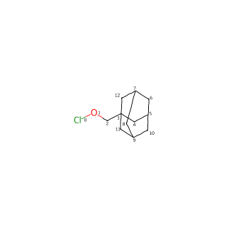 ClOCC12CC3CC(CC(C3)C1)C2